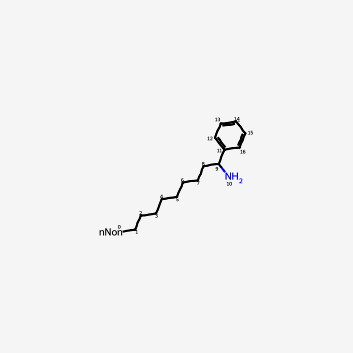 CCCCCCCCCCCCCCCCCC(N)c1cc[c]cc1